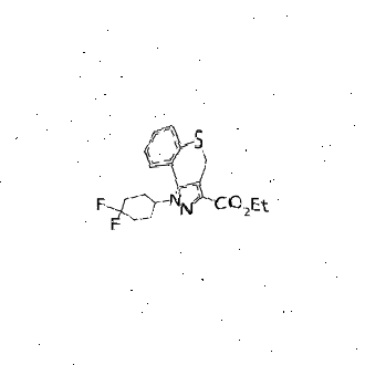 CCOC(=O)c1nn(C2CCC(F)(F)CC2)c2c1CSc1ccccc1-2